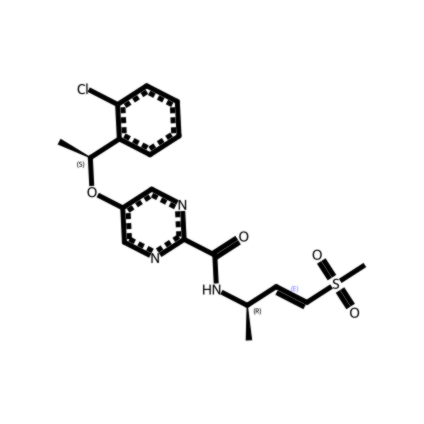 C[C@H](/C=C/S(C)(=O)=O)NC(=O)c1ncc(O[C@@H](C)c2ccccc2Cl)cn1